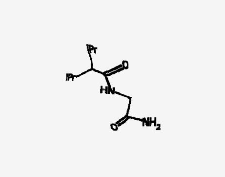 CC(C)C(C(=O)NCC(N)=O)C(C)C